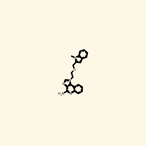 Cn1c(COCCn2cnc3c(N)nc4ccccc4c32)cc2ccccc21